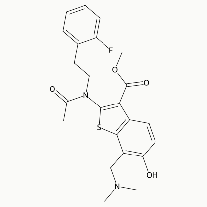 COC(=O)c1c(N(CCc2ccccc2F)C(C)=O)sc2c(CN(C)C)c(O)ccc12